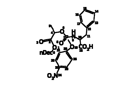 CCCCCCCCCCOC(=O)C(C)OP(=O)(NC(Cc1ccccc1)C(=O)O)Oc1ccc([N+](=O)[O-])cc1